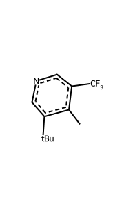 Cc1c(C(C)(C)C)cncc1C(F)(F)F